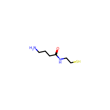 NCCCC(=O)NCCS